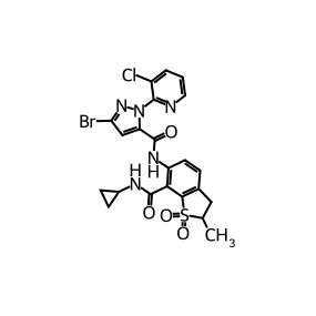 CC1Cc2ccc(NC(=O)c3cc(Br)nn3-c3ncccc3Cl)c(C(=O)NC3CC3)c2S1(=O)=O